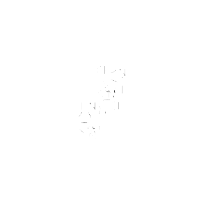 O=C(Nc1ccc2c(c1)S(=O)(=O)C=C2)c1sc(Sc2c(Cl)cncc2Cl)nc1C(F)(F)F